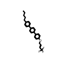 CCCCCc1ccc(-c2ccc(-c3ccc(OCC=CC(F)(F)F)cc3)cc2)cc1